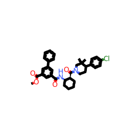 COC(=O)c1cc(C(=O)N[C@@H]2CCCC[C@@H]2C(=O)N2CCC(c3ccc(Cl)cc3)C(C)(C)C2)cc(-c2ccccc2)c1